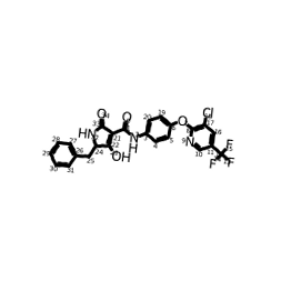 O=C(Nc1ccc(Oc2ncc(C(F)(F)F)cc2Cl)cc1)C1=C(O)C(Cc2ccccc2)NC1=O